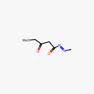 CN=NC(=O)CC(=O)COC